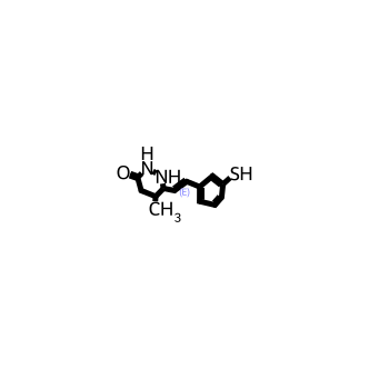 CC1CC(=O)NNC1/C=C/c1cccc(S)c1